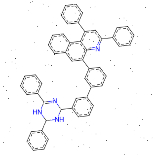 c1ccc(C2=NC(c3cccc(-c4cccc(-c5cc6ccccc6c6c(-c7ccccc7)cc(-c7ccccc7)nc56)c4)c3)NC(c3ccccc3)N2)cc1